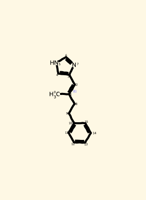 C/C(=C\c1c[nH]cn1)CCc1ccccc1